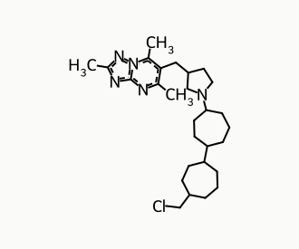 Cc1nc2nc(C)c(CC3CCN(C4CCCC(C5CCCC(CCl)CC5)CC4)C3)c(C)n2n1